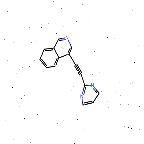 C(#Cc1cncc2ccccc12)c1ncccn1